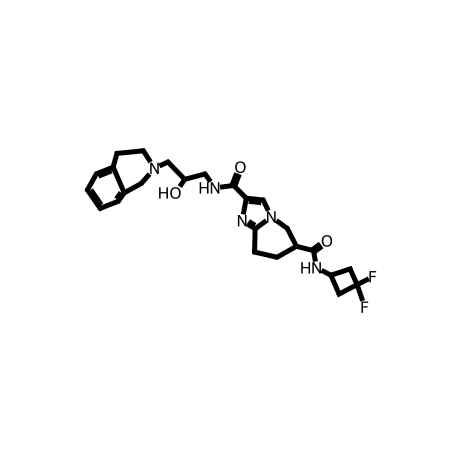 O=C(NCC(O)CN1CCc2ccccc2C1)c1cn2c(n1)CCC(C(=O)NC1CC(F)(F)C1)C2